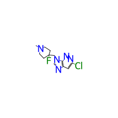 CN1CCC(F)(Cn2cnc3cc(Cl)nnc32)CC1